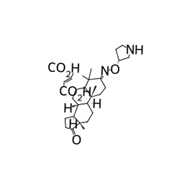 CC1(C)/C(=N/O[C@@H]2CCNC2)CC[C@@]2(C)C1CC[C@@H]1[C@@H]2CC[C@]2(C)C(=O)CC[C@@H]12.O=C(O)/C=C/C(=O)O